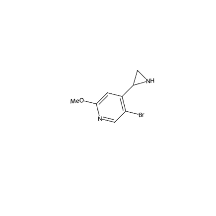 COc1cc(C2CN2)c(Br)cn1